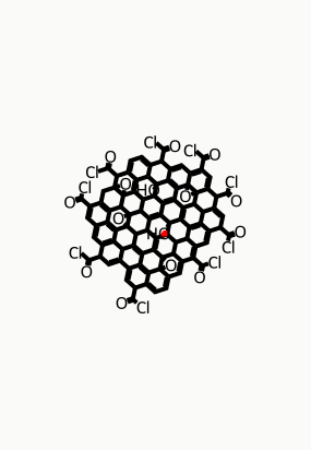 O=C(Cl)C1=C2C=C3C4=C5C6=C7C8=C9C%10C%11=C%12C%13=C%14C%15C(=CC(C(=O)Cl)c%16cc%17cc(C(=O)Cl)c%18c%19c%17c(c%16%15)C%15(OC%15%16C9C9C%15=C%17C(=CC=C(C3C(=O)Cl)C%17C4(O)C79)C(C(=O)Cl)C3(C%18)OC%153C%19%16)C%14%10)C3=CC(C(=O)Cl)C4=CC=C7C=C9C(C(=O)Cl)=C%10C=C%14C%15=C%16C(=C6C6C%15C(=CC%14C(=O)Cl)C(C(=O)Cl)C(=C1)C61OC251)C8(O)C%11C(C%10%16)C9C%121OC71C4=C3%13